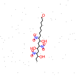 CCC(O)C(CC(O)C(CC(O)C(CCCCCCCC=O)[N+](=O)[O-])[N+](=O)[O-])[N+](=O)[O-]